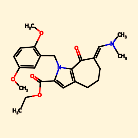 CCOC(=O)c1cc2c(n1Cc1cc(OC)ccc1OC)C(=O)C(=CN(C)C)CCC2